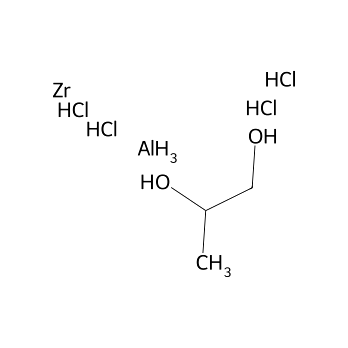 CC(O)CO.Cl.Cl.Cl.Cl.[AlH3].[Zr]